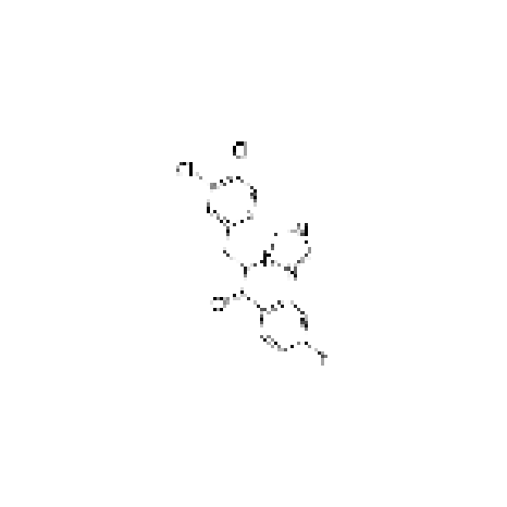 O=C(c1ccc(F)cc1)C(Cc1ccc(Cl)c(Cl)c1)n1cncn1